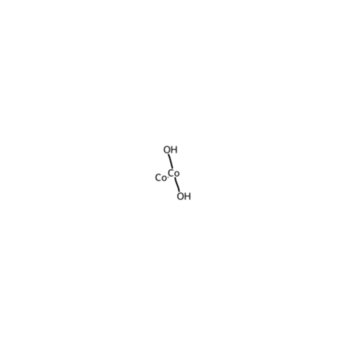 [Co].[OH][Co][OH]